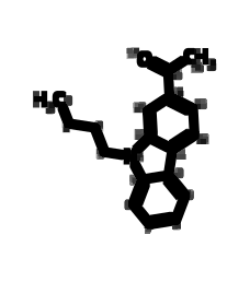 CCCCn1c2ccccc2c2ccc(C(C)=O)cc21